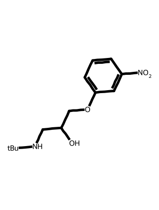 CC(C)(C)NCC(O)COc1cccc([N+](=O)[O-])c1